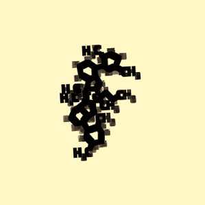 CCC[Si]1(C)C2=Cc3c(-c4cc(C)ccc4C)cccc3[CH]2[Hf]([CH3])([CH3])[CH]2C1=Cc1c(-c3cc(C)ccc3C)cccc12